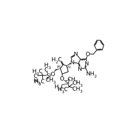 C=C1[C@H](CO[Si](C)(C)C(C)(C)C)C(O[Si](C)(C)C(C)(C)C)C[C@@H]1n1cnc2c(OCc3ccccc3)nc(N)nc21